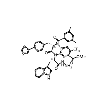 COC(=O)c1nc(N(C(=O)[C@H](Cc2ccc(-c3ccsc3)cc2)N(C)C(=O)c2cc(C)cc(C)c2)[C@@H](Cc2c[nH]c3ccccc23)C(=O)NN)ncc1C(F)(F)F